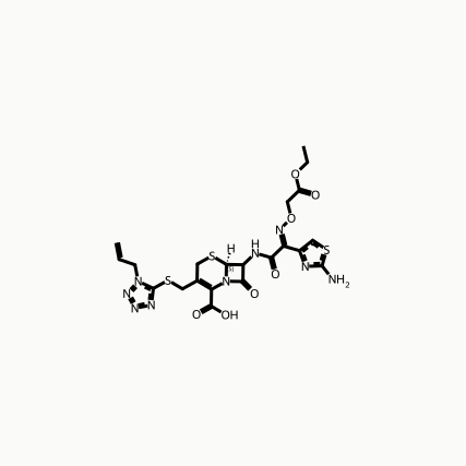 C=CCn1nnnc1SCC1=C(C(=O)O)N2C(=O)C(NC(=O)C(=NOCC(=O)OCC)c3csc(N)n3)[C@@H]2SC1